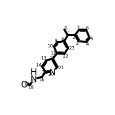 CC(c1ccccc1)c1ccc(-c2ccc(CNC=O)nc2)cc1